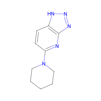 c1cc2[nH]nnc2nc1N1CCCCC1